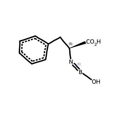 O=C(O)[C@H](Cc1ccccc1)/N=B/O